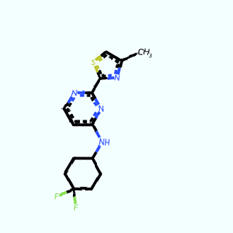 Cc1csc(-c2n[c]cc(NC3CCC(F)(F)CC3)n2)n1